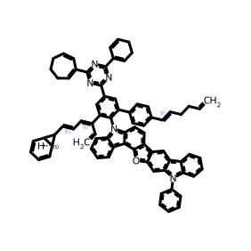 C=CCC/C=C/c1ccc(-c2cc(-c3nc(C4=CCCC=C4)nc(C4=CCCCC=C4)n3)cc(/C(C=C)=C/C=C/C3C4C=CC=C[C@@H]43)c2-n2c3ccccc3c3c4oc5cc6c(cc5c4ccc32)c2ccccc2n6-c2ccccc2)cc1